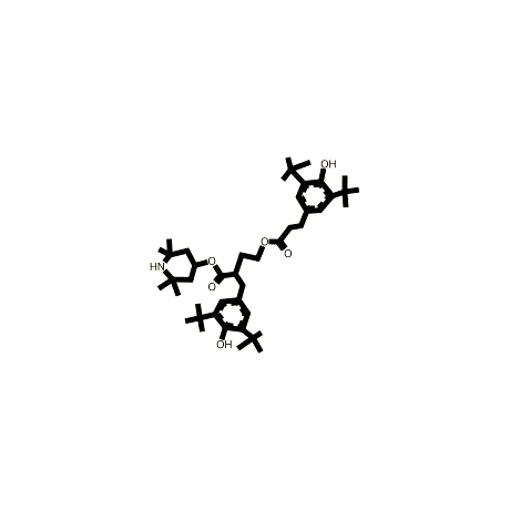 CC1(C)CC(OC(=O)C(CCOC(=O)CCc2cc(C(C)(C)C)c(O)c(C(C)(C)C)c2)Cc2cc(C(C)(C)C)c(O)c(C(C)(C)C)c2)CC(C)(C)N1